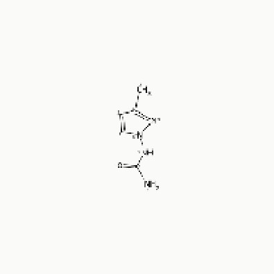 Cc1ccn(NC(N)=O)n1